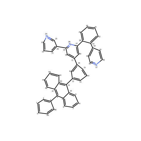 c1ccc(-c2c3ccccc3c(-c3cccc(-c4cc(-c5cccnc5)nc(-c5ccccc5-c5ccncc5)c4)c3)c3ccccc23)cc1